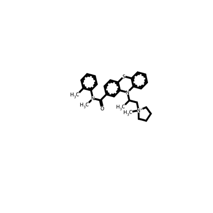 Cc1ccccc1N(C)C(=O)c1ccc2c(c1)N(C(C)C[N+]1(C)CCCC1)c1ccccc1S2